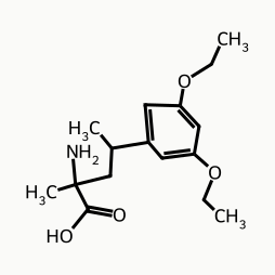 CCOc1cc(OCC)cc(C(C)CC(C)(N)C(=O)O)c1